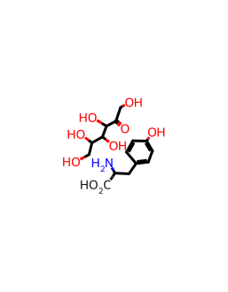 NC(Cc1ccc(O)cc1)C(=O)O.O=C(CO)C(O)C(O)C(O)CO